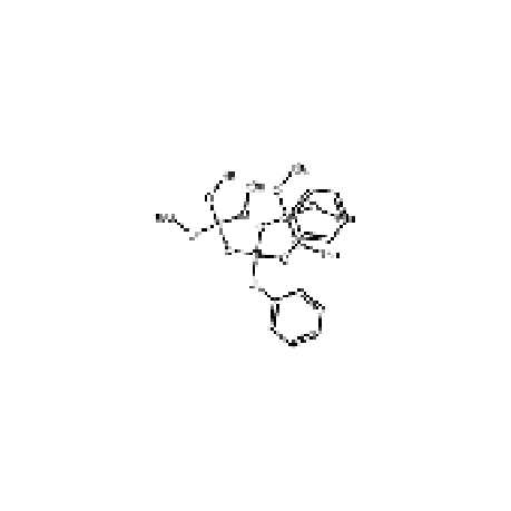 CC(C)(C)O[Si](OC(C)(C)C)(OC(C)(C)C)[O][Ti]([O]c1ccccc1)([O]c1ccccc1)[O][Si](OC(C)(C)C)(OC(C)(C)C)OC(C)(C)C